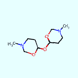 CN1CCC(OC2CCN(C)CO2)OC1